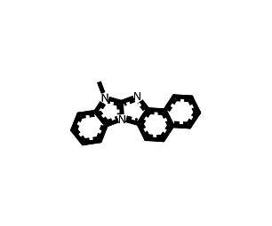 Cn1c2ccccc2n2c3ccc4ccccc4c3nc12